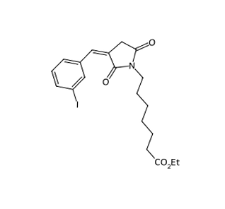 CCOC(=O)CCCCCCN1C(=O)CC(=Cc2cccc(I)c2)C1=O